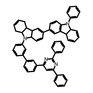 C1=CC2c3cc(C4=CC5C6CC=CCC6N(c6cccc(-c7cccc(-c8cc(-c9ccccc9)nc(-c9ccccc9)n8)c7)c6)C5C=C4)ccc3N(c3ccccc3)C2C=C1